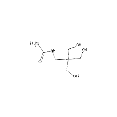 NC(=O)NCC(CO)(CO)CO